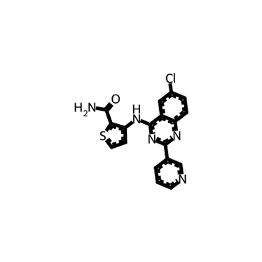 NC(=O)c1sccc1Nc1nc(-c2cccnc2)nc2ccc(Cl)cc12